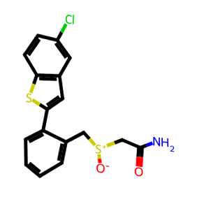 NC(=O)C[S+]([O-])Cc1ccccc1-c1cc2cc(Cl)ccc2s1